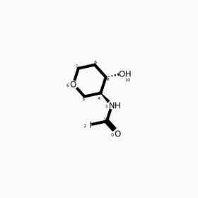 O=C(I)N[C@H]1COCC[C@@H]1O